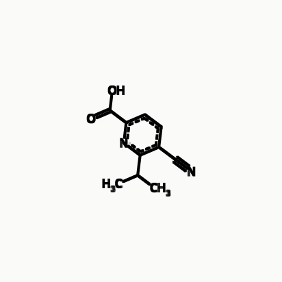 CC(C)c1nc(C(=O)O)ccc1C#N